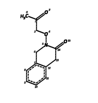 CC(=O)CON1Cc2ccccc2CC1=O